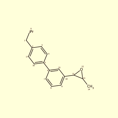 CC(C)Cc1ccc(-c2cccc(C3OC3C)c2)cc1